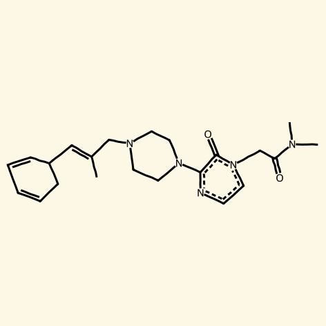 C/C(=C\C1C=CC=CC1)CN1CCN(c2nccn(CC(=O)N(C)C)c2=O)CC1